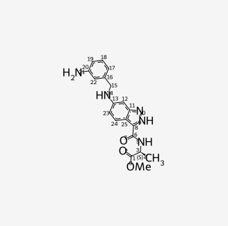 COC(=O)[C@H](C)NC(=O)c1[nH]nc2cc(NCc3cccc(N)c3)ccc12